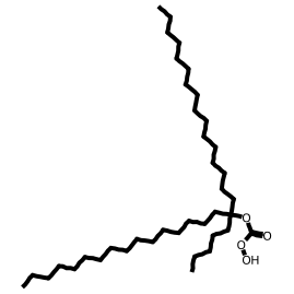 CCCCCCCCCCCCCCCCC(CCCCC)(CCCCCCCCCCCCCCCC)OC(=O)OO